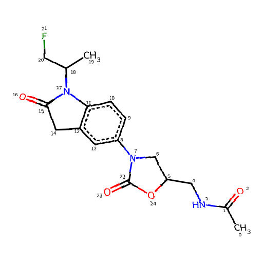 CC(=O)NCC1CN(c2ccc3c(c2)CC(=O)N3C(C)CF)C(=O)O1